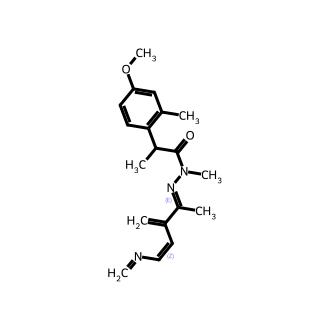 C=N/C=C\C(=C)/C(C)=N/N(C)C(=O)C(C)c1ccc(OC)cc1C